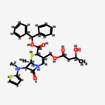 CC(=O)N(c1cccs1)C1C(=O)N2C=C(COC(=O)CC(C)O)C(C(=O)OC(c3ccccc3)c3ccccc3)S[C@H]12